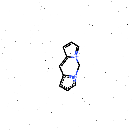 C1=CC2=Cc3cccn3C[N+]2=C1